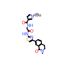 CN1CCc2ccc(-c3csc(NC(=O)CNC(=O)c4ccn(C(C)(C)C)c4)n3)cc2C1=O